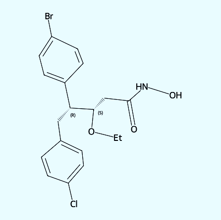 CCO[C@@H](CC(=O)NO)[C@H](Cc1ccc(Cl)cc1)c1ccc(Br)cc1